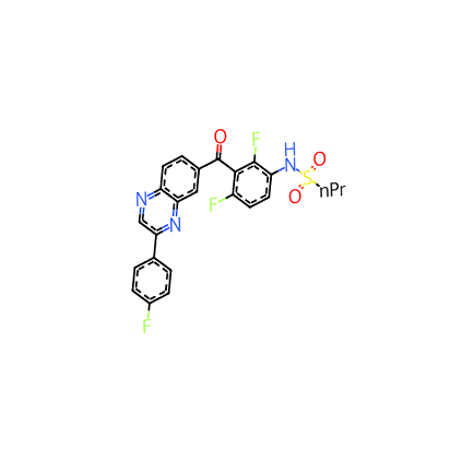 CCCS(=O)(=O)Nc1ccc(F)c(C(=O)c2ccc3ncc(-c4ccc(F)cc4)nc3c2)c1F